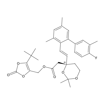 Cc1cc(C)c(C=C[C@]2(CC(=O)OCc3oc(=O)oc3C(C)(C)C)CCOC(C)(C)O2)c(-c2ccc(F)c(C)c2)c1